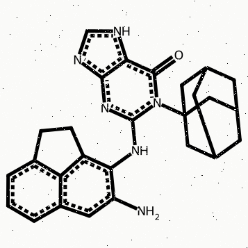 Nc1cc2cccc3c2c(c1Nc1nc2nc[nH]c2c(=O)n1C12CC4CC(CC(C4)C1)C2)CC3